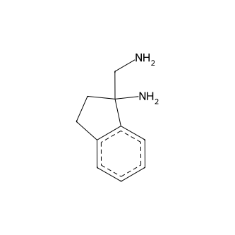 NCC1(N)CCc2ccccc21